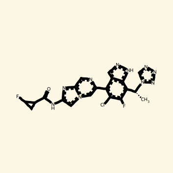 C[C@H](c1c(F)c(Cl)c(-c2cn3cc(NC(=O)C4CC4F)nc3cn2)c2cn[nH]c12)n1cnnn1